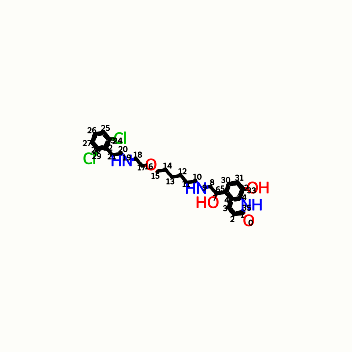 O=c1ccc2c(C(O)CNCCCCCCOCCNCCc3c(Cl)cccc3Cl)ccc(O)c2[nH]1